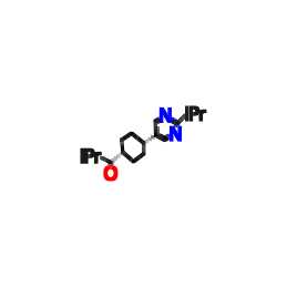 CC(C)c1ncc([C@H]2CC[C@@H](C(=O)C(C)C)CC2)cn1